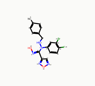 N#Cc1ccc(CNN(C(=NO)c2cnon2)c2ccc(F)c(Br)c2)cc1